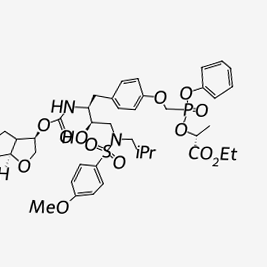 CCOC(=O)[C@@H](C)OP(=O)(COc1ccc(C[C@H](NC(=O)O[C@H]2CO[C@H]3OCCC32)[C@H](O)CN(CC(C)C)S(=O)(=O)c2ccc(OC)cc2)cc1)Oc1ccccc1